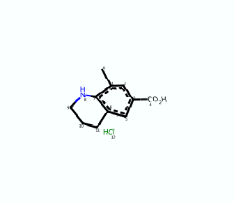 Cc1cc(C(=O)O)cc2c1NCCC2.Cl